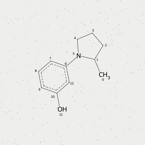 CC1CCCN1c1cccc(O)c1